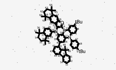 CC(C)(C)c1ccc(N2c3ccc(C(C)(C)C)cc3B3c4oc5cc6c(cc5c4N(c4ccc5c(c4)C(C)(C)CCC5(C)C)c4cc(-c5cccc7c5C(C)(C)c5ccccc5-7)cc2c43)C(C)(C)CCC6(C)C)cc1